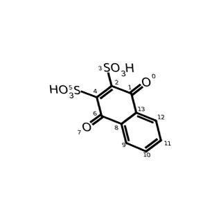 O=C1C(S(=O)(=O)O)=C(S(=O)(=O)O)C(=O)c2ccccc21